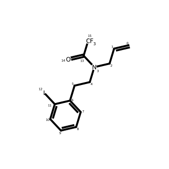 C=CCN(CCc1ccccc1I)C(=O)C(F)(F)F